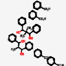 CC(C(O)c1ccccc1)C(O)c1ccccc1.CC(C)(C(O)c1ccccc1)C(O)c1ccccc1.O=C(O)c1ccccc1.O=C(O)c1ccccc1.O=S(=O)(O)c1ccccc1.O=S(=O)(O)c1ccccc1